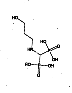 O=P(O)(O)C(NCCCO)P(=O)(O)O